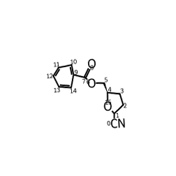 N#CC1CC[C@H](COC(=O)c2ccccc2)O1